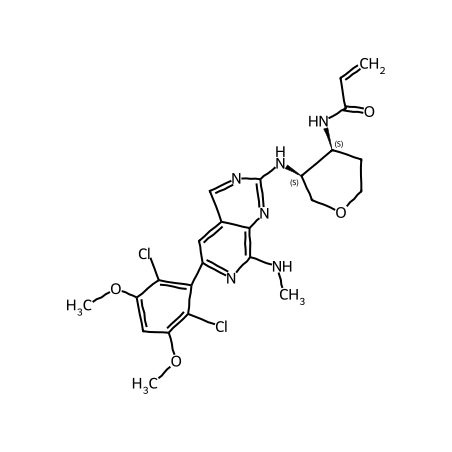 C=CC(=O)N[C@H]1CCOC[C@H]1Nc1ncc2cc(-c3c(Cl)c(OC)cc(OC)c3Cl)nc(NC)c2n1